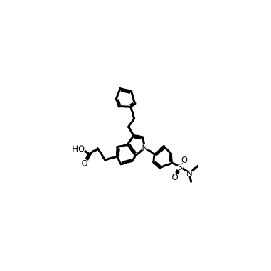 CN(C)S(=O)(=O)c1ccc(-n2cc(CCc3ccccc3)c3cc(CCC(=O)O)ccc32)cc1